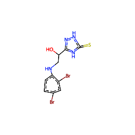 OC(CNc1ccc(Br)cc1Br)c1n[nH]c(=S)[nH]1